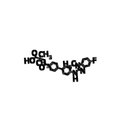 Cn1c(Nc2ccc(-c3ccc(C(=O)CC(C)(C)C(=O)O)cc3)cc2)nc2cc(F)ccc21